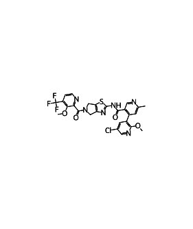 COc1ncc(Cl)cc1-c1cc(C)ncc1C(=O)Nc1nc2c(s1)CN(C(=O)c1nccc(C(F)(F)F)c1OC)C2